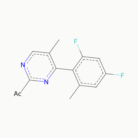 CC(=O)c1ncc(C)c(-c2c(C)cc(F)cc2F)n1